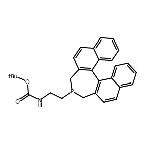 CC(C)(C)OC(=O)NCCP1Cc2ccc3ccccc3c2-c2c(ccc3ccccc23)C1